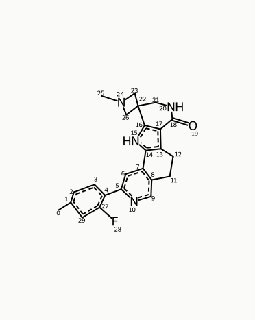 Cc1ccc(-c2cc3c(cn2)CCc2c-3[nH]c3c2C(=O)NCC32CN(C)C2)c(F)c1